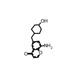 Nc1cc(CC2CCC(O)CC2)cc2c(=O)ccoc12